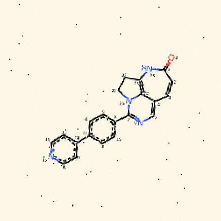 O=C1C=CC2=CN=C(c3ccc(-c4ccncc4)cc3)N3CCC(=C23)N1